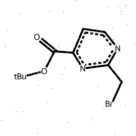 CC(C)(C)OC(=O)c1ccnc(CBr)n1